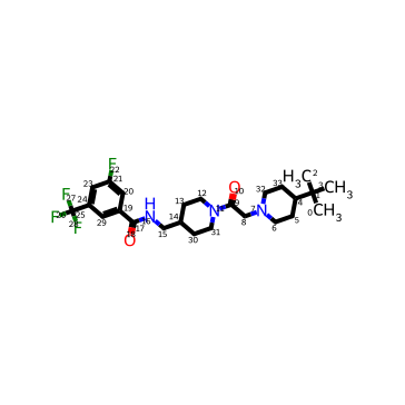 CC(C)(C)C1CCN(CC(=O)N2CCC(CNC(=O)c3cc(F)cc(C(F)(F)F)c3)CC2)CC1